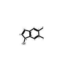 Cc1cc2c(cc1C)C(Br)C=C2